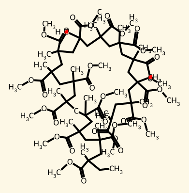 CCC(C)(CC(C)(CC(C)(CC(C)(CC(C)(CC(C)(CC(C)(CC(C)(CC(C)(CC(C)(CC(C)(CC(C)(CC(C)(CC(C)(CC(C)(C)C(=O)OC)C(=O)OC)C(=O)OC)C(=O)OC)C(=O)OC)C(=O)OC)C(=O)OC)C(=O)OC)C(=O)OC)C(=O)OC)C(=O)OC)C(=O)OC)C(=O)OC)C(=O)OC)C(=O)OC